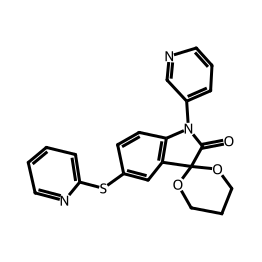 O=C1N(c2cccnc2)c2ccc(Sc3ccccn3)cc2C12OCCCO2